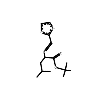 CC(C)CC(/N=C/c1nccs1)C(=O)OC(C)(C)C